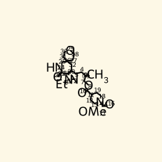 CCn1nc(C[C@@H](C)COC(=O)C2CCN(C(=O)OC)CC2)c2c1C(=O)NCC1(CCOCC1)C2